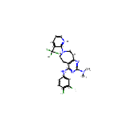 CN(C)c1nc2c(c(Nc3ccc(Cl)c(Cl)c3)n1)CCN(c1ncccc1C(F)(F)F)CC2